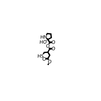 COC(=O)CC(CS)C(=O)OC(=O)[C@]1(O)CCCN1